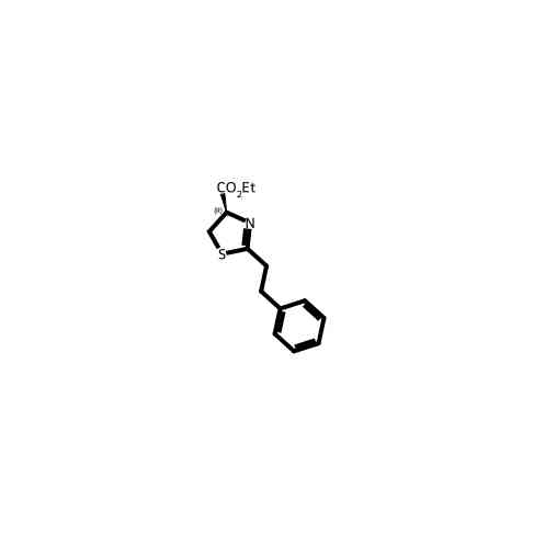 CCOC(=O)[C@@H]1CSC(CCc2ccccc2)=N1